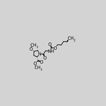 C=CCCCOC(=O)NCC(=O)N1C[C@@H](OC)C[C@H]1C(=O)OC